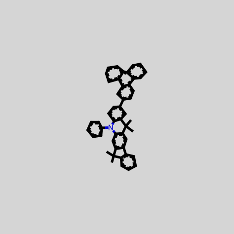 CC1(C)c2ccccc2-c2cc3c(cc21)N(c1ccccc1)c1ccc(-c2ccc4c5ccccc5c5ccccc5c4c2)cc1C3(C)C